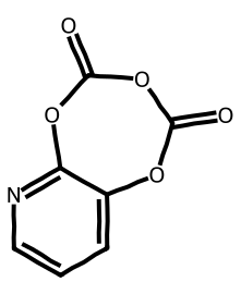 O=C1OC(=O)Oc2ncccc2O1